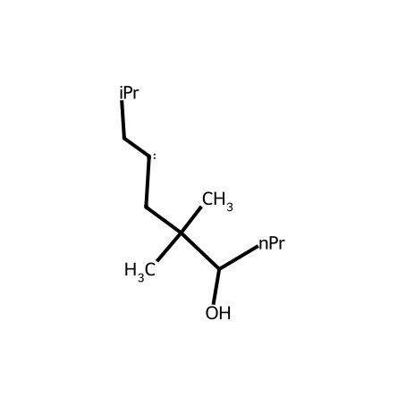 CCCC(O)C(C)(C)C[C]CC(C)C